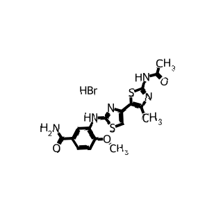 Br.COc1ccc(C(N)=O)cc1Nc1nc(-c2sc(NC(C)=O)nc2C)cs1